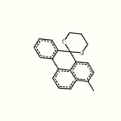 Cc1ccc2c3c(cccc13)-c1ccccc1C21OCCCO1